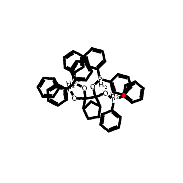 c1ccc([PH2](OC2(O[PH2](c3ccccc3)c3ccccc3)C3CCC(C3)C2(O[PH2](c2ccccc2)c2ccccc2)O[PH2](c2ccccc2)c2ccccc2)c2ccccc2)cc1